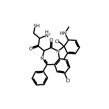 CNC1C=CC=C(C)C1(Cl)N1C(=O)C(C(=O)C(N)CS)N=C(c2ccccc2)c2cc(Cl)ccc21